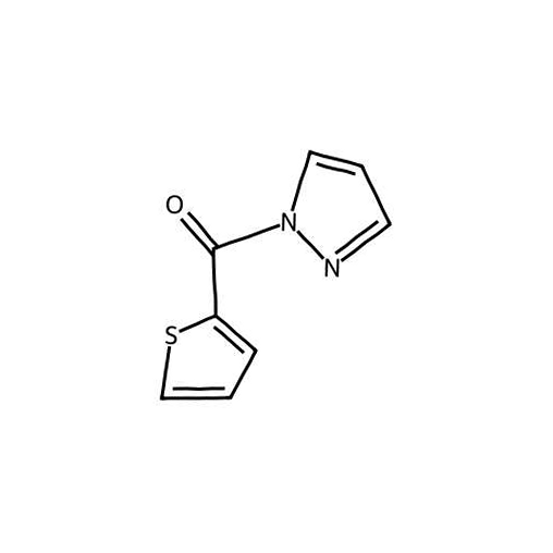 O=C(c1cccs1)n1cccn1